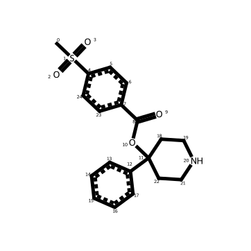 CS(=O)(=O)c1ccc(C(=O)OC2(c3ccccc3)CCNCC2)cc1